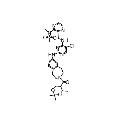 CC1OC(C)(C)OCC1C(=O)N1CCc2ccc(Nc3ncc(Cl)c(NCc4nccnc4N(C)S(C)(=O)=O)n3)cc2CC1